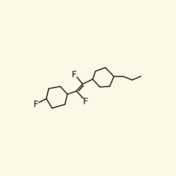 CCCC1CCC(/C(F)=C(\F)C2CCC(F)CC2)CC1